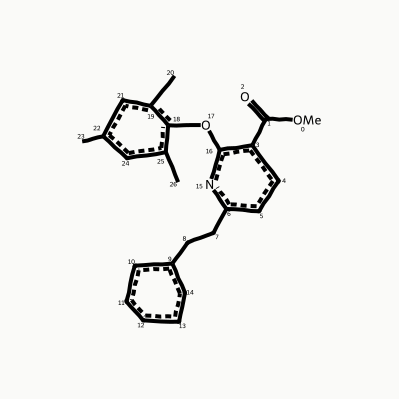 COC(=O)c1ccc(CCc2ccccc2)nc1Oc1c(C)cc(C)cc1C